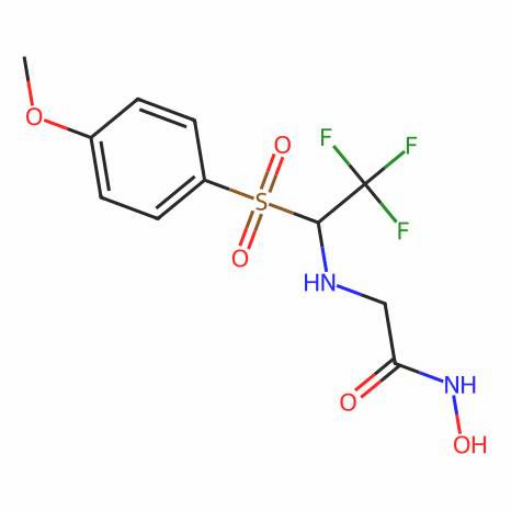 COc1ccc(S(=O)(=O)C(NCC(=O)NO)C(F)(F)F)cc1